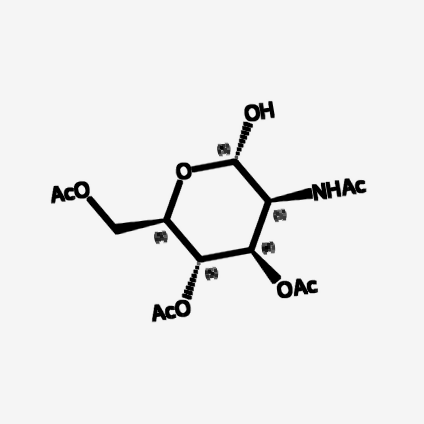 CC(=O)N[C@H]1[C@@H](OC(C)=O)[C@H](OC(C)=O)[C@@H](COC(C)=O)O[C@@H]1O